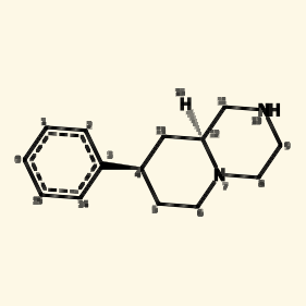 c1ccc([C@@H]2CCN3CCNC[C@@H]3C2)cc1